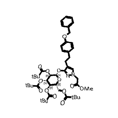 COC(=O)Cn1cc(CCc2ccc(OCc3ccccc3)cc2)c(O[C@@H]2O[C@H](COC(=O)C(C)(C)C)[C@@H](OC(=O)C(C)(C)C)[C@H](OC(=O)C(C)(C)C)[C@H]2OC(=O)C(C)(C)C)n1